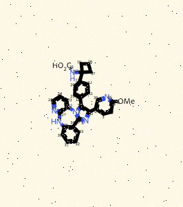 COc1ccc(-c2nc3n(c2-c2ccc(C4(NC(=O)O)CCC4)cc2)-c2cccnc2Nc2ccccc2-3)cn1